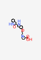 O=C(O)C1CCCN(CCCOc2ccc3[nH]c(-c4cc5ccccc5[nH]c4=O)cc3c2)C1